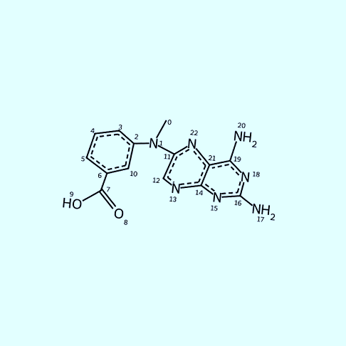 CN(c1cccc(C(=O)O)c1)c1cnc2nc(N)nc(N)c2n1